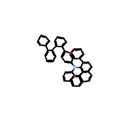 c1ccc(-c2ccccc2-c2ccccc2-c2ccc(N(c3ccccc3-c3ccccc3)c3c(-c4ccccc4)cccc3-c3ccccc3)cc2)cc1